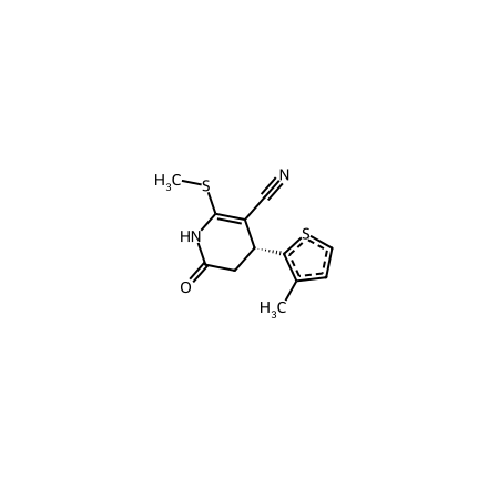 CSC1=C(C#N)[C@H](c2sccc2C)CC(=O)N1